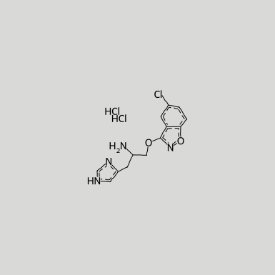 Cl.Cl.NC(COc1noc2ccc(Cl)cc12)Cc1c[nH]cn1